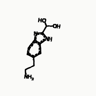 NCCc1ccc2nc(C(O)O)[nH]c2c1